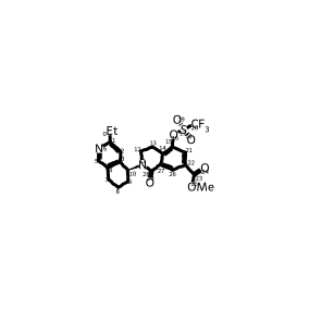 CCc1cc2c(cn1)CCC[C@@H]2N1CCc2c(OS(=O)(=O)C(F)(F)F)cc(C(=O)OC)cc2C1=O